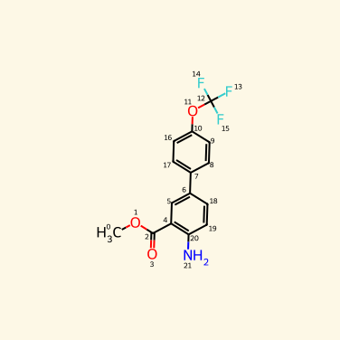 COC(=O)c1cc(-c2ccc(OC(F)(F)F)cc2)ccc1N